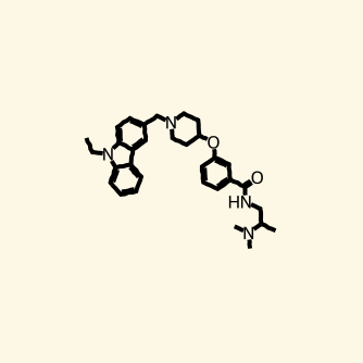 CCn1c2ccccc2c2cc(CN3CCC(Oc4cccc(C(=O)NCC(C)N(C)C)c4)CC3)ccc21